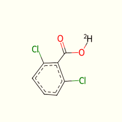 [2H]OC(=O)c1c(Cl)cccc1Cl